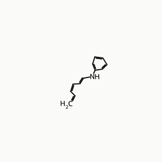 C=C/C=C\C=C\Nc1ccccc1